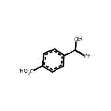 CC(C)C(O)c1ccc(C(=O)O)cc1